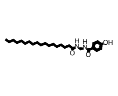 CCCCCCCCCCCCCCCCCC(=O)NCNC(=O)c1ccc(O)cc1